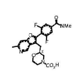 CNC(=O)c1cc(F)c(-c2oc3cc(C)ncc3c2C[C@H]2CN(C(=O)O)CCO2)c(F)c1